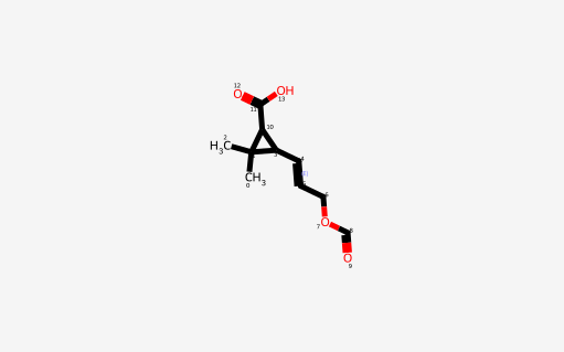 CC1(C)C(/C=C/COC=O)C1C(=O)O